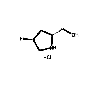 Cl.OC[C@H]1C[C@H](F)CN1